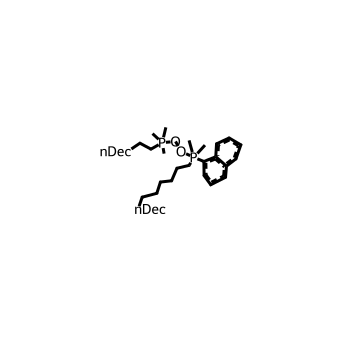 CCCCCCCCCCCCCCCCP(C)(C)(OOP(C)(C)(C)CCCCCCCCCCCC)c1cccc2ccccc12